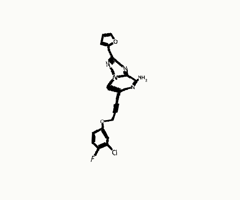 Nc1nc(C#CCOc2ccc(F)c(Cl)c2)cn2nc(-c3ccco3)nc12